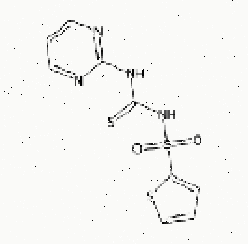 O=S(=O)(NC(=S)Nc1ncccn1)c1cccs1